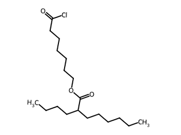 CCCCCCC(CCCC)C(=O)OCCCCCCC(=O)Cl